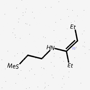 CC/C=C(/CC)NCCSC